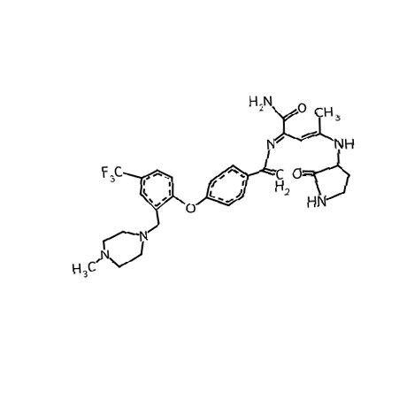 C=C(/N=C(\C=C(/C)NC1CCNC1=O)C(N)=O)c1ccc(Oc2ccc(C(F)(F)F)cc2CN2CCN(C)CC2)cc1